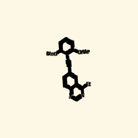 CCc1ncnc2ccc(C#Cc3c(OC)cccc3OC)cc12